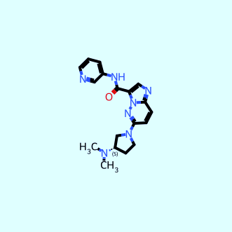 CN(C)[C@H]1CCN(c2ccc3ncc(C(=O)Nc4cccnc4)n3n2)C1